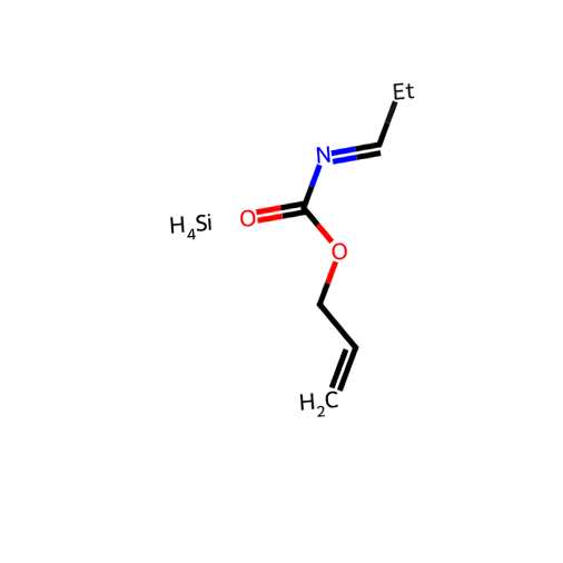 C=CCOC(=O)N=CCC.[SiH4]